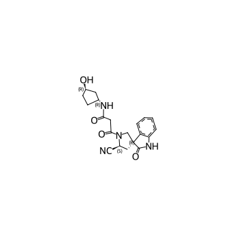 N#C[C@@H]1C[C@@]2(CN1C(=O)CC(=O)N[C@@H]1CC[C@@H](O)C1)C(=O)Nc1ccccc12